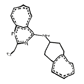 Clc1nc(NC2Cc3ccccc3C2)c2ccccc2n1